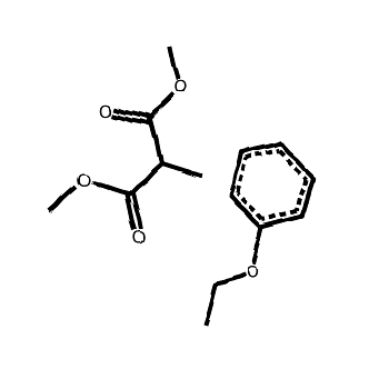 CCOc1ccccc1.COC(=O)C(C)C(=O)OC